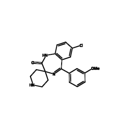 COc1cccc(C2=NC3(CCNCC3)C(=O)Nc3ccc(Cl)cc32)c1